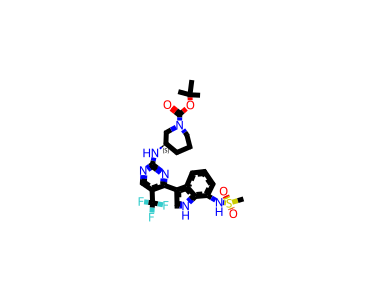 CC(C)(C)OC(=O)N1CCC[C@H](Nc2ncc(C(F)(F)F)c(-c3c[nH]c4c(NS(C)(=O)=O)cccc34)n2)C1